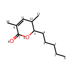 CCCCCC1OC(=O)C(C)=CC1C